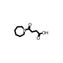 O=C(O)CCC(=O)N1CCCCCC1